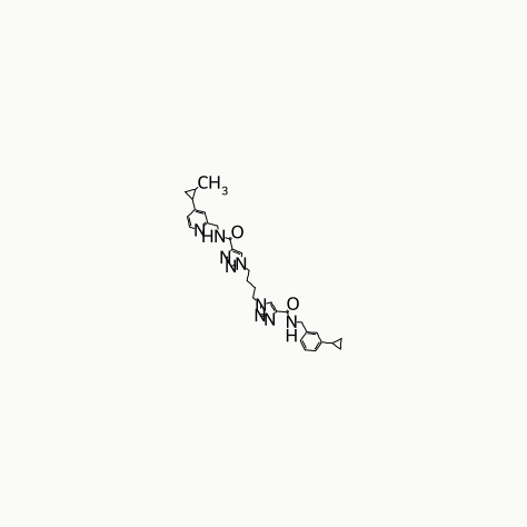 CC1CC1c1ccnc(CNC(=O)c2cn(CCCCn3cc(C(=O)NCc4cccc(C5CC5)c4)nn3)nn2)c1